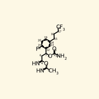 CC(=N)OC(=N)CC(OC(N)=O)c1cc(CCCC(F)(F)F)ccc1F